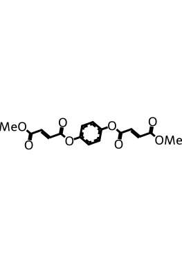 COC(=O)/C=C/C(=O)Oc1ccc(OC(=O)/C=C/C(=O)OC)cc1